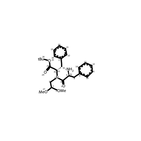 COC(CN(C(=O)[C@@H](N)Cc1ccccc1)[C@@H](Cc1ccccc1)C(=O)OC(C)(C)C)OC